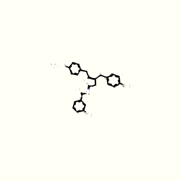 COc1ccc(CC2=C(Cc3ccc(O)cc3)C/C(=N/C(=O)c3cccc(C(F)(F)F)c3)N2)cc1